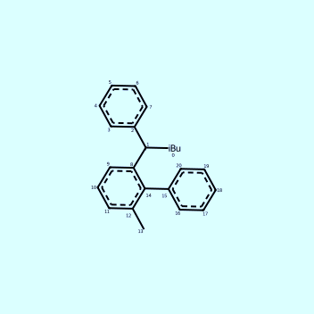 CCC(C)[C](c1ccccc1)c1cccc(C)c1-c1ccccc1